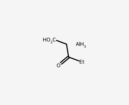 CCC(=O)CC(=O)O.[AlH3]